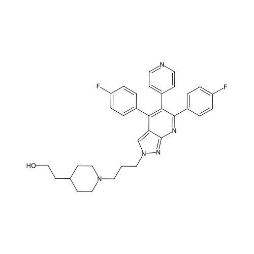 OCCC1CCN(CCCn2cc3c(-c4ccc(F)cc4)c(-c4ccncc4)c(-c4ccc(F)cc4)nc3n2)CC1